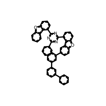 c1ccc(-c2cccc(-c3cccc(-c4ccc5oc6cccc(-c7nc(-c8ccccc8)nc(-c8cccc9oc%10ccccc%10c89)n7)c6c5c4)c3)c2)cc1